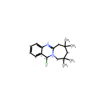 CC1(C)CC2=Nc3ccccc3C(Cl)N2CC(C)(C)C1